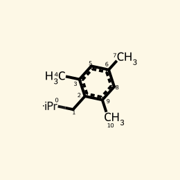 C[C](C)Cc1c(C)cc(C)cc1C